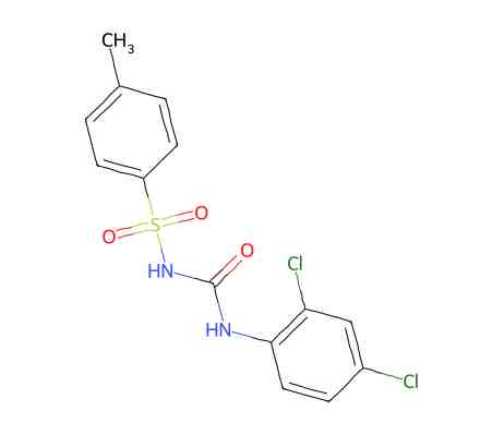 Cc1ccc(S(=O)(=O)NC(=O)Nc2ccc(Cl)cc2Cl)cc1